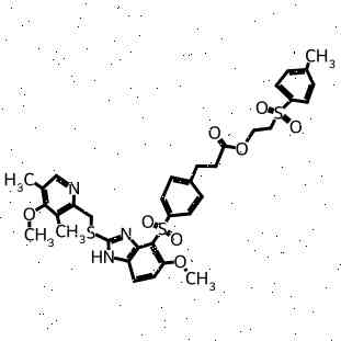 COc1ccc2[nH]c(SCc3ncc(C)c(OC)c3C)nc2c1S(=O)(=O)c1ccc(CCC(=O)OCCS(=O)(=O)c2ccc(C)cc2)cc1